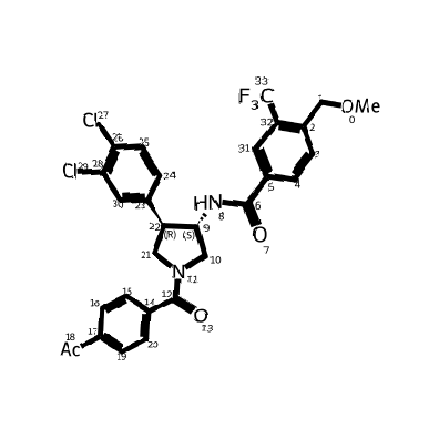 COCc1ccc(C(=O)N[C@@H]2CN(C(=O)c3ccc(C(C)=O)cc3)C[C@H]2c2ccc(Cl)c(Cl)c2)cc1C(F)(F)F